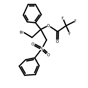 O=C(OC(CBr)(CS(=O)(=O)c1ccccc1)c1ccccc1)C(F)(F)F